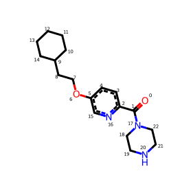 O=C(c1ccc(OCCC2CCCCC2)cn1)N1CCNCC1